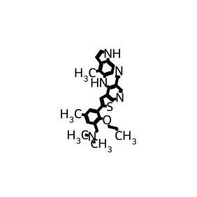 CCCOc1c(CN(C)C)cc(C)cc1-c1cc2c(Nc3ccc4[nH]ccc4c3C)c(C#N)cnc2s1